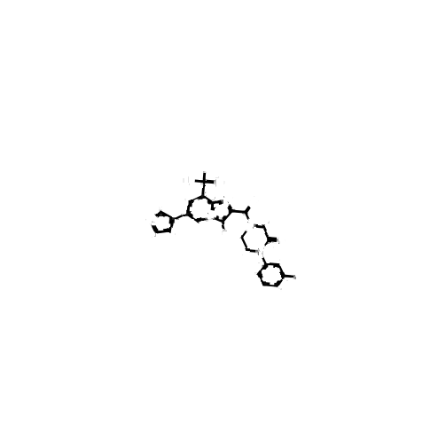 O=C(c1nc2c(C(F)(F)F)cc(-c3ccoc3)cn2c1Cl)N1CCN(c2cccc(F)c2)C(=O)C1